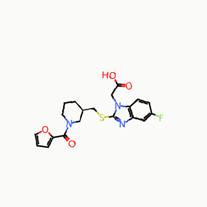 O=C(O)Cn1c(SCC2CCCN(C(=O)c3ccco3)C2)nc2cc(F)ccc21